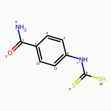 NC(=O)c1ccc(NC(=S)S)cc1